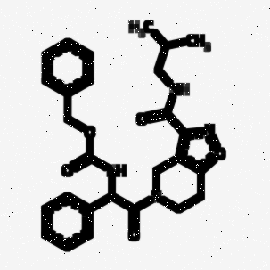 CC(C)CNC(=O)c1noc2c1CN(C(=O)C(NC(=O)OCc1ccccc1)c1ccccc1)CC2